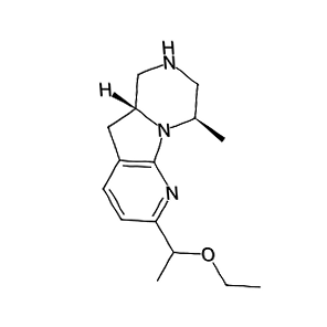 CCOC(C)c1ccc2c(n1)N1[C@@H](CNC[C@H]1C)C2